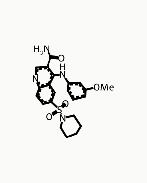 COc1cccc(Nc2c(C(N)=O)cnc3ccc(S(=O)(=O)N4CCCCC4)cc23)c1